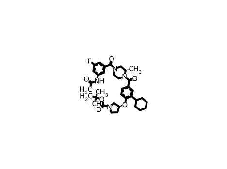 CC(=O)Nc1cc(F)cc(C(=O)N2CCN(C(=O)c3ccc(O[C@H]4CCN(C(=O)OC(C)(C)C)C4)c(C4CCCCC4)c3)[C@@H](C)C2)c1